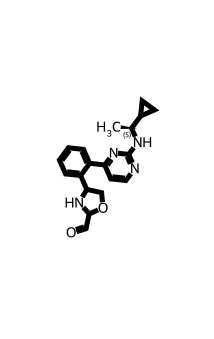 C[C@H](Nc1nccc(-c2ccccc2C2COC(C=O)N2)n1)C1CC1